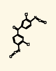 O=C=Nc1ccc(C(=O)c2ccc(N=C=O)c(Cl)c2)cc1Cl